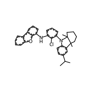 CC(C)c1ccc2c(c1)C1(C)CCCCC1(C)N2c1cccc(Nc2cccc3c2oc2ccccc23)c1Cl